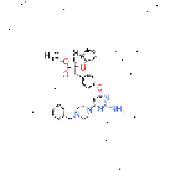 CCOC(=O)C(C)(Cc1ccc(Oc2cc(N3CCN(Cc4ccccc4)CC3)nc(N)n2)cc1)Oc1ccccc1